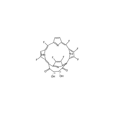 O=C1c2c3nc(c(c4c(F)c(F)c(c(F)c5nc(c(F)c6cc(F)c2[nH]6)C=C5)n4F)C(=O)[C@H](O)[C@@H]1O)C(F)=C3F